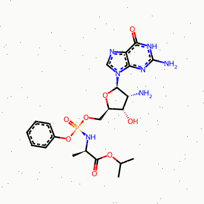 CC(C)OC(=O)[C@@H](C)N[P@@](=O)(OC[C@H]1O[C@@H](n2cnc3c(=O)[nH]c(N)nc32)[C@H](N)[C@@H]1O)Oc1ccccc1